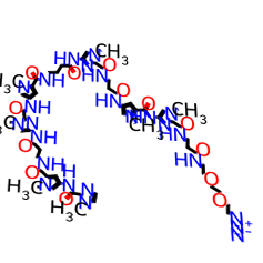 Cn1cc(NC(=O)c2nc(NC(=O)CCNC(=O)c3cc(NC(=O)c4nccn4C)cn3C)cn2C)cc1C(=O)NCCCC(=O)Nc1cn(C)c(C(=O)NCCC(=O)Nc2cc(C(=O)Nc3cn(C)c(C(=O)NCCC(=O)NCCOCCOCCN=[N+]=[N-])n3)n(C)c2)n1